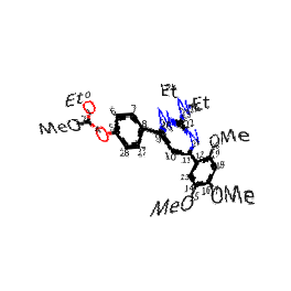 CCOC(OC)Oc1ccc(-c2cc(-c3cc(OC)c(OC)cc3OC)nc(N(CC)CC)n2)cc1